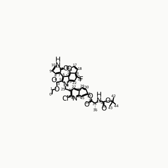 CCOC(=O)c1c(-c2ccc[nH]c2=O)c2c3occc3c(F)cc2n1Cc1cc2ccc(OC(=O)[C@@H](C)NC(=O)OC(C)(C)C)cc2nc1Cl